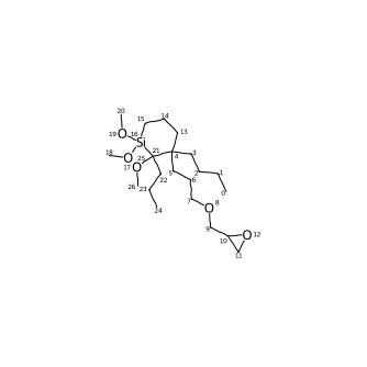 CCCCC1(CCCOCC2CO2)CCC[Si](OC)(OC)C1(CCC)OC